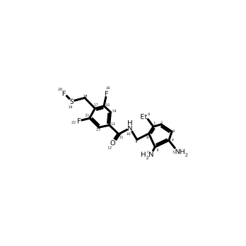 CCc1ccc(N)c(N)c1CNC(=O)c1cc(F)c(CSF)c(F)c1